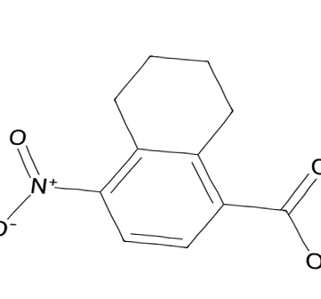 O=C(O)c1ccc([N+](=O)[O-])c2c1CCCC2